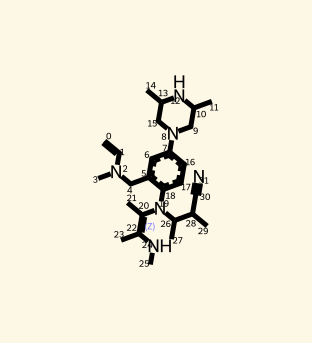 C=CN(C)Cc1cc(N2CC(C)NC(C)C2)ccc1N(/C(C)=C(/C)NC)C(C)C(C)C#N